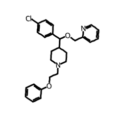 Clc1ccc(C(OCc2ccccn2)C2CCN(CCOc3ccccc3)CC2)cc1